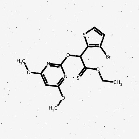 CCOC(=S)C(Oc1nc(OC)cc(OC)n1)c1sccc1Br